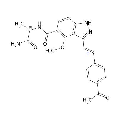 COc1c(C(=O)N[C@@H](C)C(N)=O)ccc2[nH]nc(/C=C/c3ccc(C(C)=O)cc3)c12